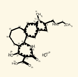 CCNCc1cc2cc3c(cc2n1C)CCCCc1c-3[nH]c(=O)c(C(=O)O)c1O.Cl